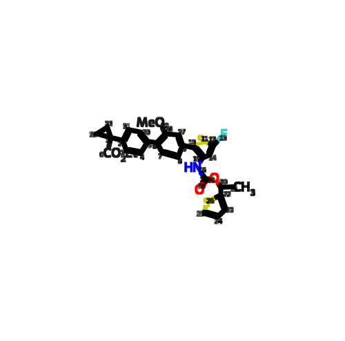 CCOC(=O)C1(c2ccc(-c3ccc(-c4sc(F)cc4NC(=O)OC(C)c4cccs4)cc3OC)cc2)CC1